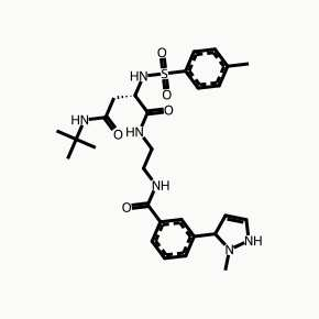 Cc1ccc(S(=O)(=O)N[C@@H](CC(=O)NC(C)(C)C)C(=O)NCCNC(=O)c2cccc(C3C=CNN3C)c2)cc1